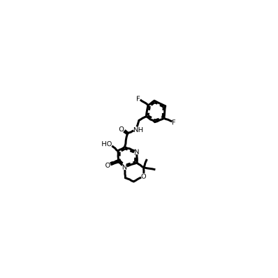 CC1(C)OCCn2c1nc(C(=O)NCc1cc(F)ccc1F)c(O)c2=O